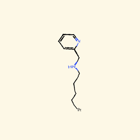 CC(C)CCCCNCc1ccccn1